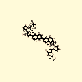 COC(=O)N[C@H](C(=O)N1CCC[C@H]1c1nc2ccc3cc(-c4ccc5cc(C6=CNC([C@@H]7CCCN7C(=O)OC(C)(C)C)N6)ccc5c4)ccc3c2[nH]1)C(C)C